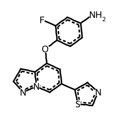 Nc1ccc(Oc2cc(-c3cncs3)cn3nccc23)c(F)c1